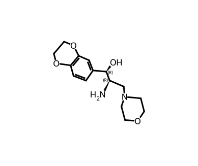 N[C@H](CN1CCOCC1)[C@H](O)c1ccc2c(c1)OCCO2